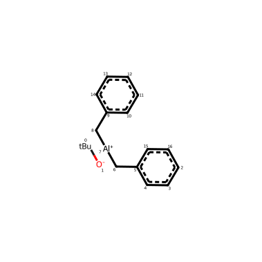 CC(C)(C)[O-].c1ccc([CH2][Al+][CH2]c2ccccc2)cc1